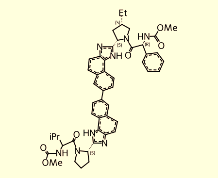 CC[C@H]1C[C@@H](c2nc3ccc4cc(-c5ccc6c(ccc7nc([C@@H]8CCCN8C(=O)C(NC(=O)OC)C(C)C)[nH]c76)c5)ccc4c3[nH]2)N(C(=O)[C@H](NC(=O)OC)c2ccccc2)C1